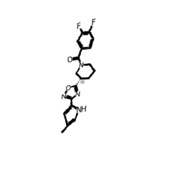 Cc1c[nH]c(-c2noc([C@H]3CCCN(C(=O)c4ccc(F)c(F)c4)C3)n2)c1